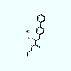 CCCOC(=O)C(N)Cc1ccc(-c2ccccc2)cc1.Cl